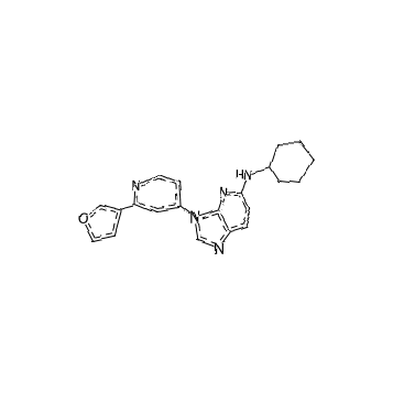 c1cc(-n2cnc3ccc(NC4CCCCC4)nc32)cc(-c2ccoc2)n1